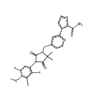 CSc1c(F)cc(N2C(=O)N(Cc3ccnc(-c4ccsc4C(N)=O)c3)C(C)(C)C2=O)c(F)c1F